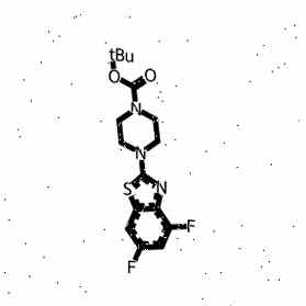 CC(C)(C)OC(=O)N1CCN(c2nc3c(F)cc(F)cc3s2)CC1